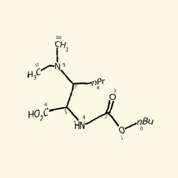 CCCCOC(=O)NC(C(=O)O)C(CCC)N(C)C